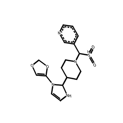 O=[SH](=O)C(c1cccnc1)N1CCC(C2N[C]=CN2C2=COCO2)CC1